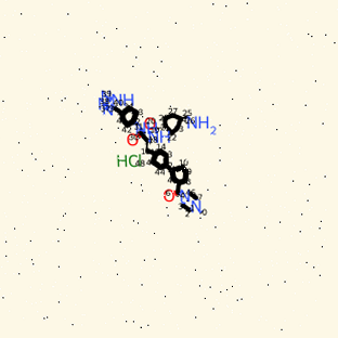 CN1CCN(C(=O)c2cccc(-c3ccc(C[C@H](NC(=O)[C@H]4CC[C@H](CN)CC4)C(=O)Nc4ccc(-c5nnn[nH]5)cc4)cc3)c2)CC1.Cl